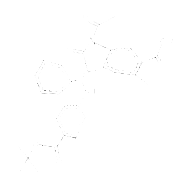 CC(=O)N1C(=O)/C(=C(/Nc2ccc(C(=O)OC(C)(C)C)cc2)c2ccccc2)c2cc(C)c(C(=O)O)cc21